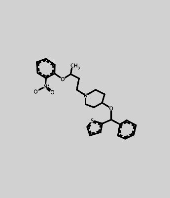 CC(CCN1CCC(OC(c2ccccc2)c2cccs2)CC1)Oc1ccccc1[N+](=O)[O-]